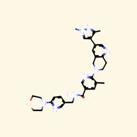 Cc1cc(C(=O)NCc2ccc(N3CCOCC3)nc2)cnc1N1CCc2ncc(-c3cn(C)nc3C)cc2C1